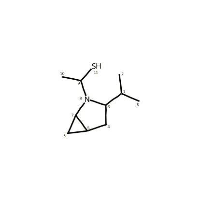 CC(C)C1CC2CC2N1C(C)S